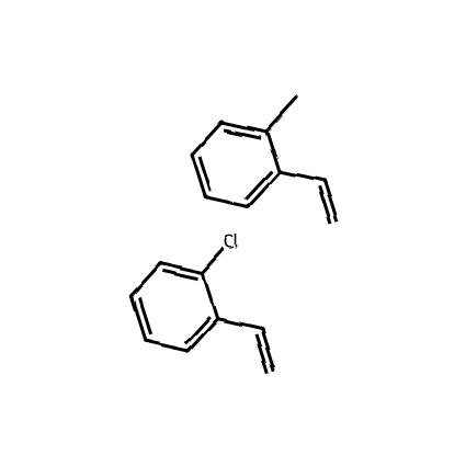 C=Cc1ccccc1C.C=Cc1ccccc1Cl